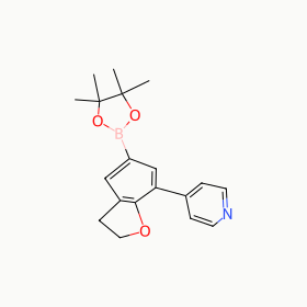 CC1(C)OB(c2cc3c(c(-c4ccncc4)c2)OCC3)OC1(C)C